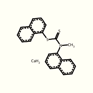 CN(C(=S)Sc1cccc2ccccc12)c1cccc2ccccc12.[CaH2]